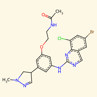 CC(=O)NCCOc1cc(Nc2ncc3cc(Br)cc(Cl)c3n2)cc(C2C=NN(C)C2)c1